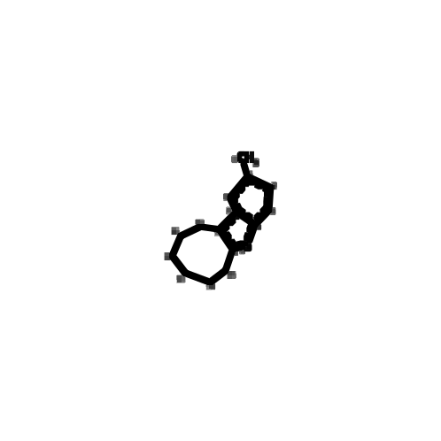 Cc1ccc2sc3c(c2c1)CCCCCC3